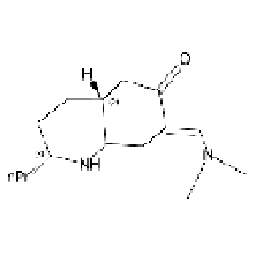 CCC[C@@H]1CC[C@@H]2CC(=O)C(=CN(C)C)CC2N1